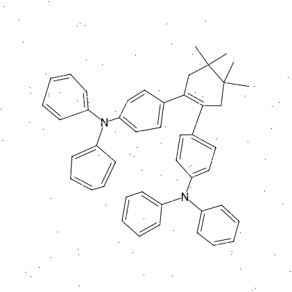 CC1(C)CC(c2ccc(N(c3ccccc3)c3ccccc3)cc2)=C(c2ccc(N(c3ccccc3)c3ccccc3)cc2)CC1(C)C